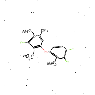 COc1c(Oc2cc(C(F)(F)F)c(OC)c(F)c2C(=O)O)ccc(F)c1F